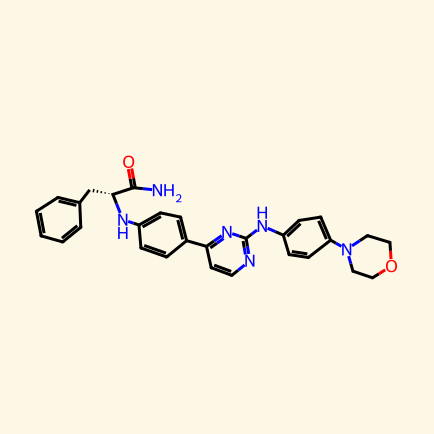 NC(=O)[C@@H](Cc1ccccc1)Nc1ccc(-c2ccnc(Nc3ccc(N4CCOCC4)cc3)n2)cc1